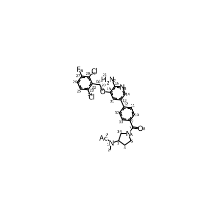 CC(=O)N(C)C1CCN(C(=O)c2ccc(-c3cnc(N)c(O[C@@H](C)c4c(Cl)ccc(F)c4Cl)c3)cc2)C1